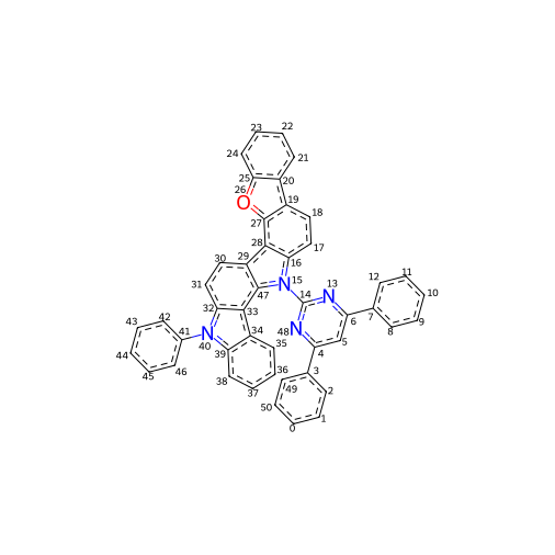 c1ccc(-c2cc(-c3ccccc3)nc(-n3c4ccc5c6ccccc6oc5c4c4ccc5c(c6ccccc6n5-c5ccccc5)c43)n2)cc1